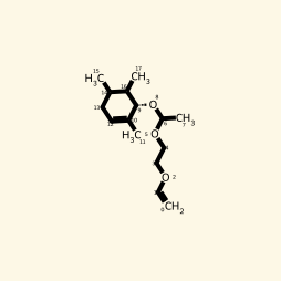 C=COCCOC(C)O[C@@H]1C(C)=CCC(C)C1C